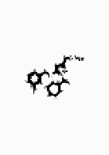 CNCc1cc(OCc2cccc(F)c2)n(C(C)C2CCCCC2)n1